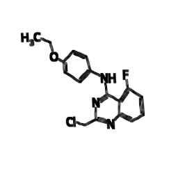 CCOc1ccc(Nc2nc(CCl)nc3cccc(F)c23)cc1